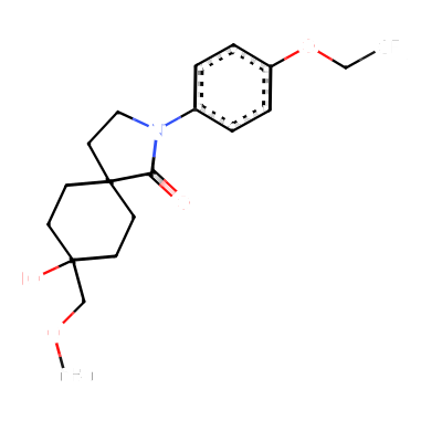 CCCCOCC1(O)CCC2(CCN(c3ccc(OCC(F)(F)F)cc3)C2=O)CC1